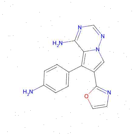 Nc1ccc(-c2c(-c3ncco3)cn3ncnc(N)c23)cc1